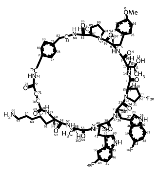 COc1ccc(C[C@@H]2NC(=O)[C@H]([C@H](C)O)NC(=O)[C@@H]3C[C@H](F)CN3C(=O)[C@H](Cc3c[nH]c4ccc(F)cc34)NC(=O)[C@H](Cc3c[nH]c4ccc(F)cc34)NC(=O)[C@@H](C)NC(=O)[C@H](CCCCCN)NC(=O)CCC(=O)NCc3ccc(cc3)CCNC(=O)[C@]3(C)CCCN3C2=O)cc1